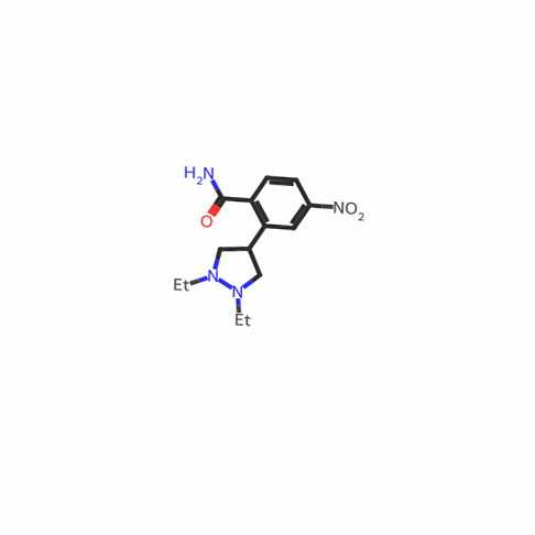 CCN1CC(c2cc([N+](=O)[O-])ccc2C(N)=O)CN1CC